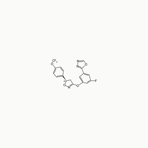 Fc1cc(OC2=NO[C@@H](c3ccc(OC(F)(F)F)cc3)C2)cc(-c2nnco2)c1